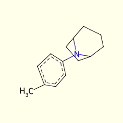 Cc1ccc(N2C3CCCC2CC3)cc1